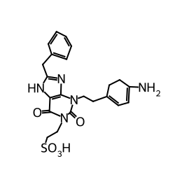 NC1=CC=C(CCn2c(=O)n(CCS(=O)(=O)O)c(=O)c3[nH]c(Cc4ccccc4)nc32)CC1